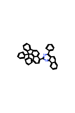 c1ccc(-c2nc(-c3cccc4c5c(ccc34)-c3ccccc3C5(c3ccccc3)c3ccccc3)nc3c2ccc2ccccc23)cc1